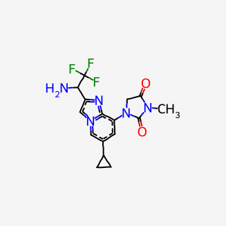 CN1C(=O)CN(c2cc(C3CC3)cn3cc(C(N)C(F)(F)F)nc23)C1=O